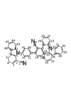 N#CC1=CCCc2c1n(-c1ccc(-c3cccc(-c4ccccc4-n4c5c(c6ccccc64)C=CCC5)c3C#N)cc1)c1ccccc21